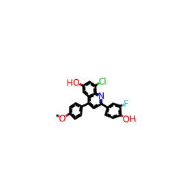 COc1ccc(-c2cc(-c3ccc(O)c(F)c3)nc3c(Cl)cc(O)cc23)cc1